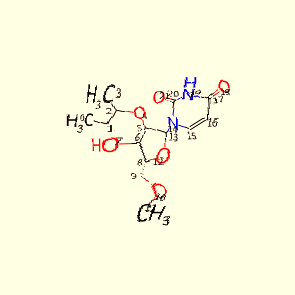 CCC(C)OC1C(O)[C@@H](COC)OC1n1ccc(=O)[nH]c1=O